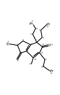 C=C1C2=C(CC1CC)C(CCC(C)C)(CCC(C)C)C(=O)C(CCC(C)C)=C2C